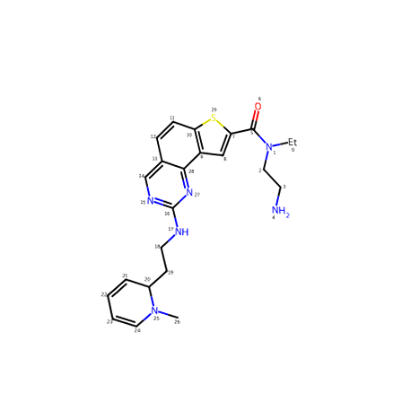 CCN(CCN)C(=O)c1cc2c(ccc3cnc(NCCC4C=CC=CN4C)nc32)s1